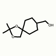 CC1(C)OCC2(CCC(CO)CC2)O1